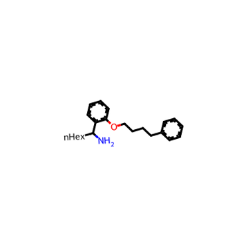 CCCCCCC(N)c1ccccc1OCCCCc1ccccc1